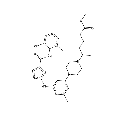 COC(=O)CCCC(C)N1CCN(c2cc(Nc3ncc(C(=O)Nc4c(C)cccc4Cl)s3)nc(C)n2)CC1